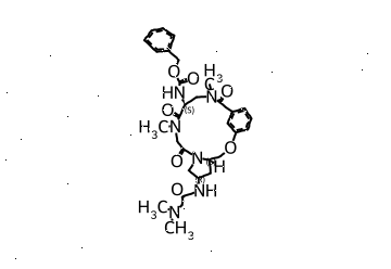 CN(C)CC(=O)N[C@@H]1C[C@H]2COc3cccc(c3)C(=O)N(C)C[C@H](NC(=O)OCc3ccccc3)C(=O)N(C)CC(=O)N2C1